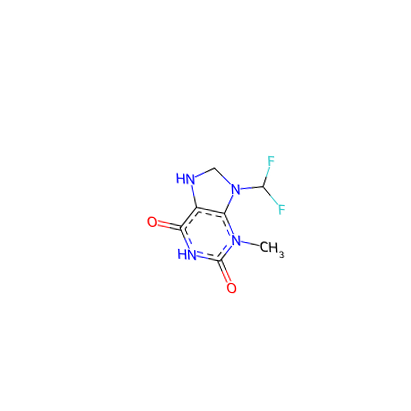 Cn1c2c(c(=O)[nH]c1=O)NCN2C(F)F